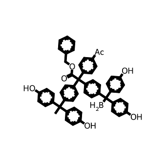 BC(c1ccc(O)cc1)(c1ccc(O)cc1)c1ccc(C(C(=O)OCc2ccccc2)(c2ccc(C(C)=O)cc2)c2ccc(C(C)(c3ccc(O)cc3)c3ccc(O)cc3)cc2)cc1